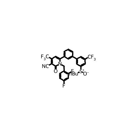 CCCC[S+]([O-])c1cc(-c2cccc(-c3cc(C(F)(F)F)c(C#N)c(=O)n3Cc3ccc(F)cc3F)c2)cc(C(F)(F)F)c1